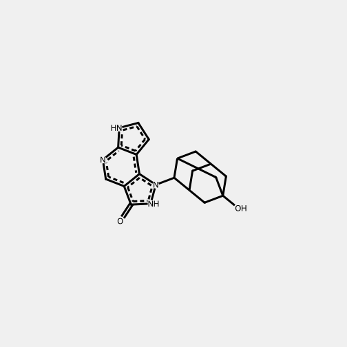 O=c1[nH]n(C2C3CC4CC2CC(O)(C4)C3)c2c1cnc1[nH]ccc12